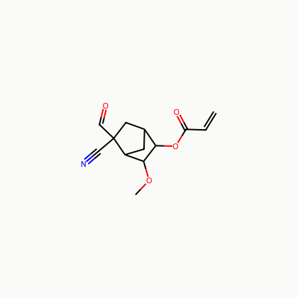 C=CC(=O)OC1C2CC(C1OC)C(C#N)(C=O)C2